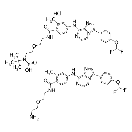 Cc1cc(Nc2nccn3c(-c4ccc(OC(F)F)cc4)cnc23)ccc1C(=O)NCCOCCN.Cc1cc(Nc2nccn3c(-c4ccc(OC(F)F)cc4)cnc23)ccc1C(=O)NCCOCCN(C(=O)O)C(C)(C)C.Cl